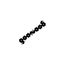 c1cc(-c2ccc(-c3ccc(-c4cc5sc(-c6ccc(-c7ccc(-c8cccc9sccc89)cc7)cc6)cc5s4)cc3)cc2)c2ccsc2c1